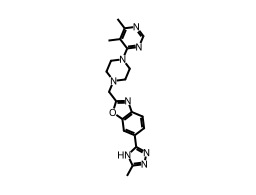 Cc1nnc(-c2ccc3nc(CN4CCN(c5ncnc(C)c5C)CC4)oc3c2)[nH]1